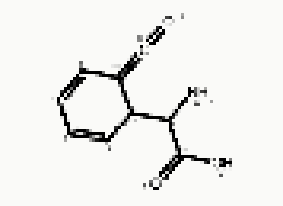 NC(C(=O)O)C1C=CC=CC1=C=O